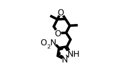 CC1C(Cc2[nH]ncc2[N+](=O)[O-])OCC2(C)OC12